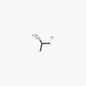 CC(C)O.N.[Fe]